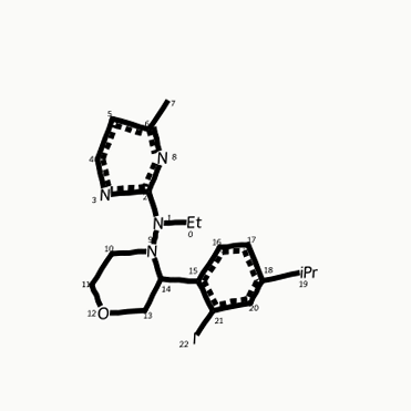 CCN(c1nccc(C)n1)N1CCOCC1c1ccc(C(C)C)cc1I